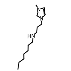 CCCCCCCNCCCN1C=CN(C)C1